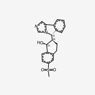 CS(=O)(=O)c1ccc2c(c1)CC[C@H]([C@H]1c3ccccc3-c3cncn31)[C@@H]2O